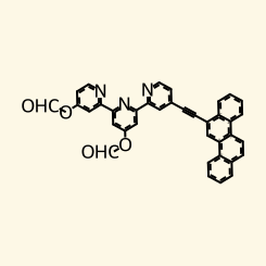 O=COc1ccnc(-c2cc(OC=O)cc(-c3cc(C#Cc4cc5c6ccccc6ccc5c5ccccc45)ccn3)n2)c1